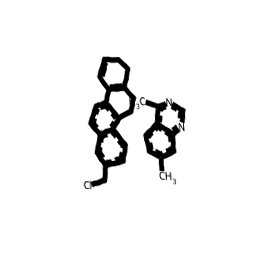 Cc1ccc2c(C)ncnc2c1.ClCc1ccc2c3c(ccc2c1)C1=C(CCC=C1)CC3